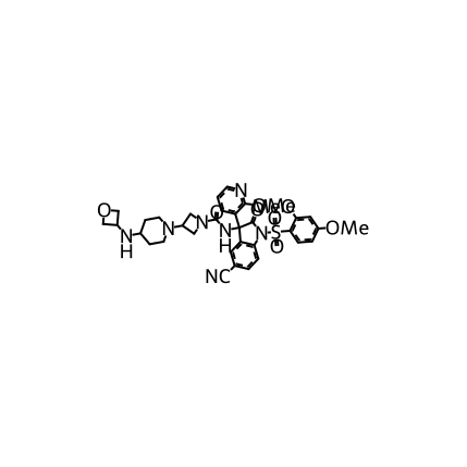 COc1ccc(S(=O)(=O)N2C(=O)C(NC(=O)N3CC(N4CCC(NC5COC5)CC4)C3)(c3cccnc3OC)c3cc(C#N)ccc32)c(OC)c1